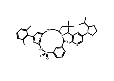 Cc1cccc(C)c1-c1cc2nc(n1)NS(=O)(=O)c1cccc(c1)C(=O)N(Cc1nc(N3CCCC3C(C)C)cnc1C)[C@H](CC(C)(C)C)CO2